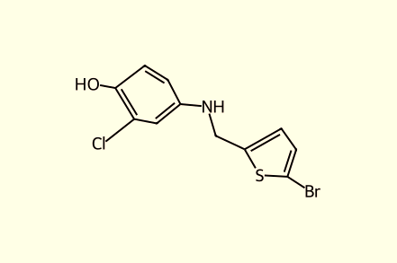 Oc1ccc(NCc2ccc(Br)s2)cc1Cl